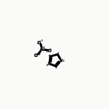 C1=NC=NC1.[Cl][Au]([Cl])[Cl]